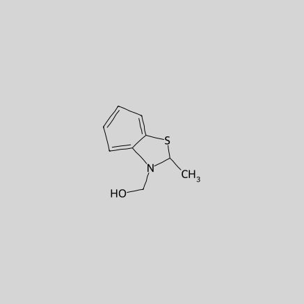 CC1Sc2ccccc2N1CO